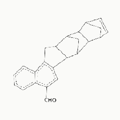 O=Cc1cc2c(c3ccccc13)CC1C3CC(C21)C1C2C=CC(C2)C31